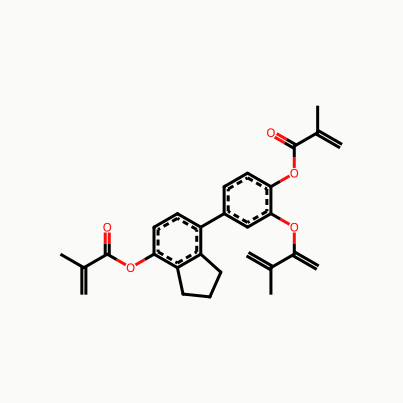 C=C(C)C(=C)Oc1cc(-c2ccc(OC(=O)C(=C)C)c3c2CCC3)ccc1OC(=O)C(=C)C